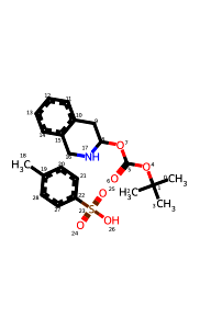 CC(C)(C)OC(=O)OC1Cc2ccccc2CN1.Cc1ccc(S(=O)(=O)O)cc1